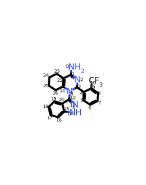 NC1=NC(c2ccccc2C(F)(F)F)N(c2n[nH]c3ccccc23)C2=C1CCCC2